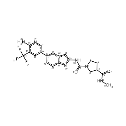 CNC(=O)C1CCN(C(=O)Nc2cn3cc(-c4cnc(N)c(C(F)(F)F)c4)ccc3n2)C1